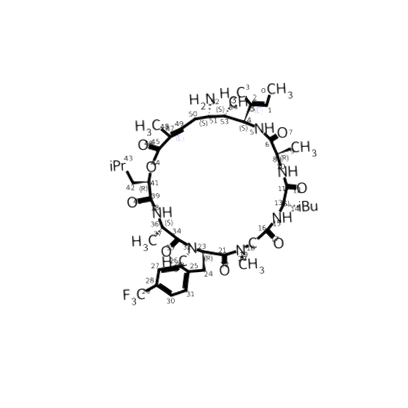 C/C=C(\C)[C@H]1NC(=O)[C@@H](C)NC(=O)[C@H](C(C)CC)NC(=O)CN(C)C(=O)[C@@H](Cc2ccc(C(F)(F)F)cc2)N(C)C(=O)[C@H](C)NC(=O)[C@@H](CC(C)C)OC(=O)/C(C)=C/C[C@H](N)[C@@H]1C